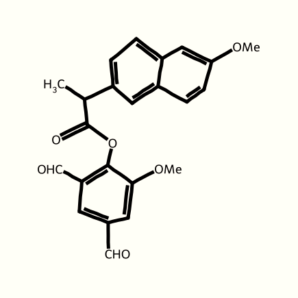 COc1ccc2cc(C(C)C(=O)Oc3c(C=O)cc(C=O)cc3OC)ccc2c1